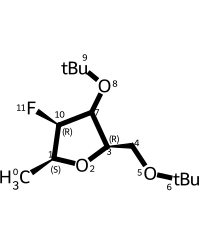 C[C@@H]1O[C@H](COC(C)(C)C)C(OC(C)(C)C)[C@@H]1F